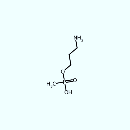 CP(=O)(O)OCCCN